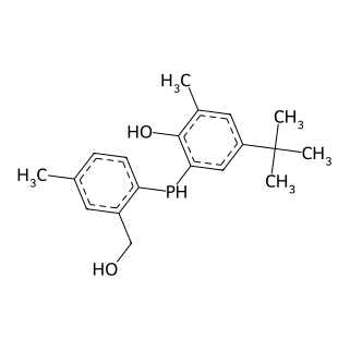 Cc1ccc(Pc2cc(C(C)(C)C)cc(C)c2O)c(CO)c1